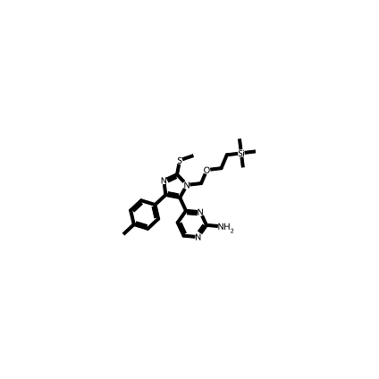 CSc1nc(-c2ccc(C)cc2)c(-c2ccnc(N)n2)n1COCC[Si](C)(C)C